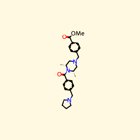 COC(=O)c1ccc(CN2C[C@@H](C)N(C(=O)c3ccc(CN4CCCC4)cc3)[C@@H](C)C2)cc1